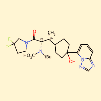 C[C@H](C1CCC(O)(c2cccc3ncnn23)CC1)[C@@H](C(=O)N1CCC(F)(F)C1)N(C(=O)O)C(C)(C)C